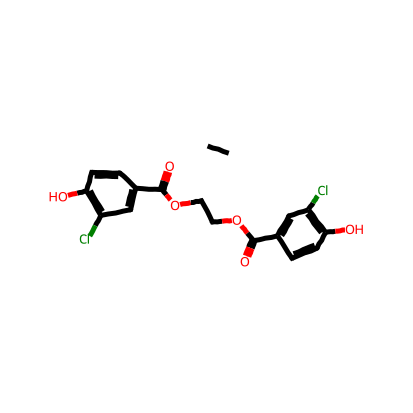 CC.O=C(OCCOC(=O)c1ccc(O)c(Cl)c1)c1ccc(O)c(Cl)c1